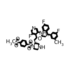 Cc1cc(F)cc([C@@H](CC(=O)Nc2cncc(F)c2CC[C@H]2CNCCN2S(=O)(=O)c2ccc(S(C)(=O)=O)cc2)c2ccc(F)cc2)c1